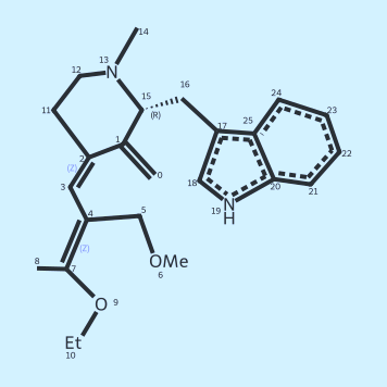 C=C1/C(=C\C(COC)=C(/C)OCC)CCN(C)[C@@H]1Cc1c[nH]c2ccccc12